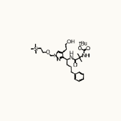 CC(C)(C)OC(=O)NC(C)(C)C(=O)NC(CCCc1ccccc1)c1nn(COCC[Si](C)(C)C)cc1CCO